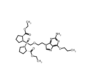 CCCOc1nc(N)nc2c1ncn2CCOCP(=O)(N1CCC[C@H]1C(=O)OCC)N1CCC[C@H]1C(=O)OCC